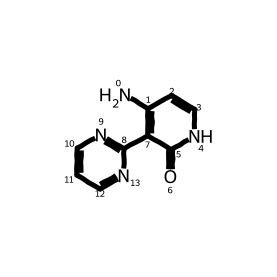 Nc1cc[nH]c(=O)c1-c1ncccn1